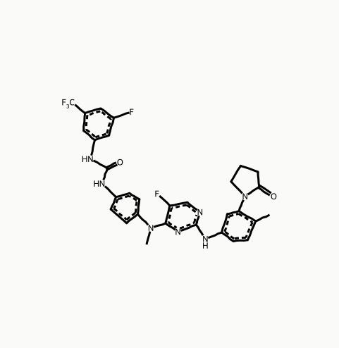 Cc1ccc(Nc2ncc(F)c(N(C)c3ccc(NC(=O)Nc4cc(F)cc(C(F)(F)F)c4)cc3)n2)cc1N1CCCC1=O